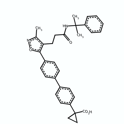 Cc1noc(-c2ccc(-c3ccc(C4(C(=O)O)CC4)cc3)cc2)c1CCC(=O)NC(C)(C)c1ccccc1